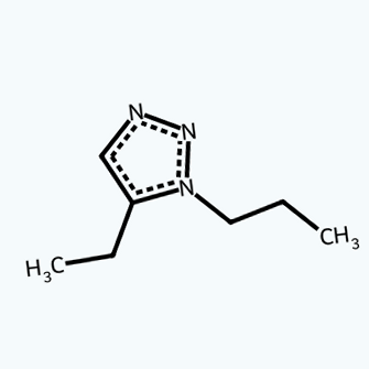 CCCn1nncc1CC